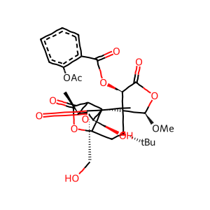 CO[C@@H]1OC(=O)[C@H](OC(=O)c2ccccc2OC(C)=O)C12[C@H](C(C)(C)C)CC1OC(=O)C3[C@H](C)C(=O)O[C@H](CO)[C@H](O)[C@]132